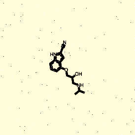 CC(C)NCC(O)COc1cccc2[nH]c(C#N)cc12